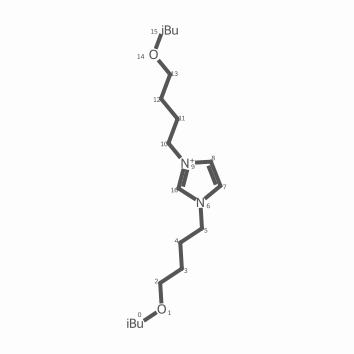 CCC(C)OCCCCn1cc[n+](CCCCOC(C)CC)c1